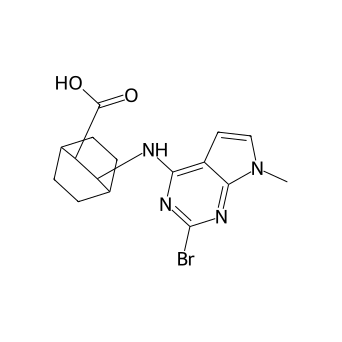 Cn1ccc2c(NC3C4CCC(CC4)C3C(=O)O)nc(Br)nc21